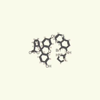 Brc1c(NC2=NCCN2)ccc2nccnc12.O=C1OC2(c3ccc(O)cc3Oc3cc(O)ccc32)c2ccccc21